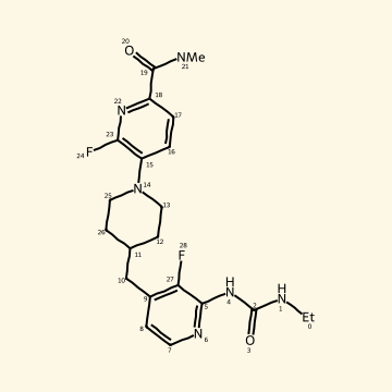 CCNC(=O)Nc1nccc(CC2CCN(c3ccc(C(=O)NC)nc3F)CC2)c1F